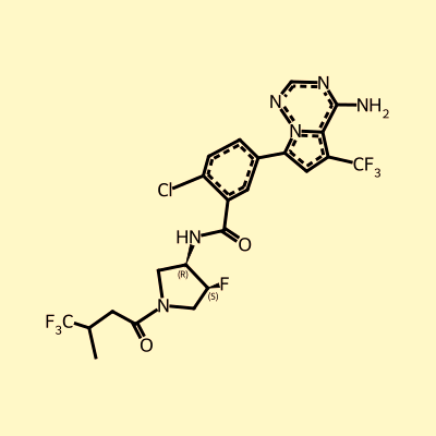 CC(CC(=O)N1C[C@H](F)[C@H](NC(=O)c2cc(-c3cc(C(F)(F)F)c4c(N)ncnn34)ccc2Cl)C1)C(F)(F)F